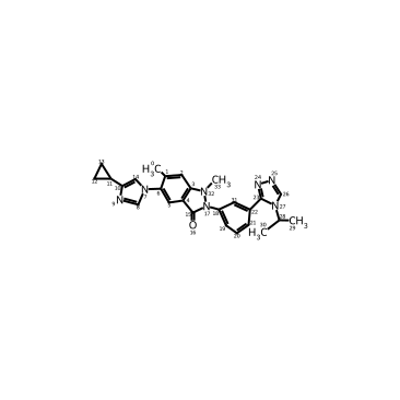 Cc1cc2c(cc1-n1cnc(C3CC3)c1)c(=O)n(-c1cccc(-c3nncn3C(C)C)c1)n2C